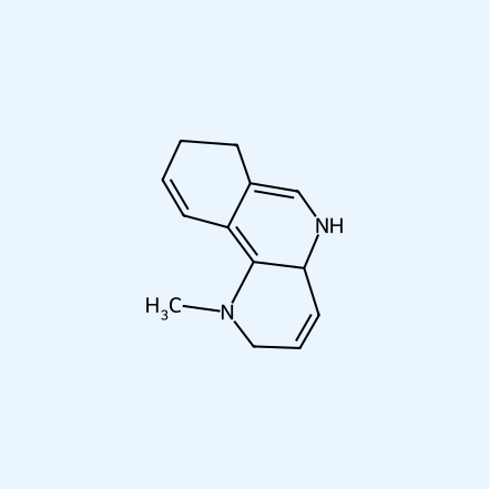 CN1CC=CC2NC=C3CCC=CC3=C21